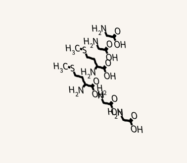 CSCCC(N)C(=O)O.CSCCC(N)C(=O)O.NCC(=O)O.NCC(=O)O.NCC(=O)O.NCC(=O)O